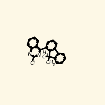 CC1(C)c2ccccc2-c2cccc(-c3nc(Cl)nc4ccccc34)c21